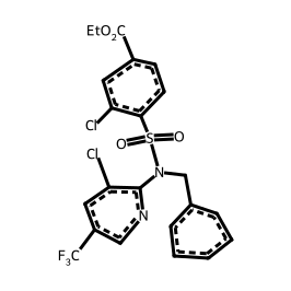 CCOC(=O)c1ccc(S(=O)(=O)N(Cc2ccccc2)c2ncc(C(F)(F)F)cc2Cl)c(Cl)c1